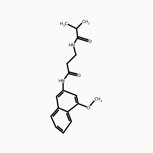 COc1cc(NC(=O)CCNC(=O)C(C)C)cc2ccccc12